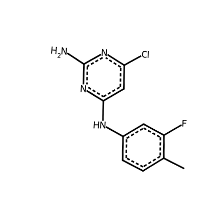 Cc1ccc(Nc2cc(Cl)nc(N)n2)cc1F